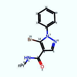 CCCNC(=O)c1cnn(-c2ccccc2)c1Br